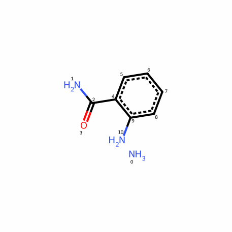 N.NC(=O)c1ccccc1N